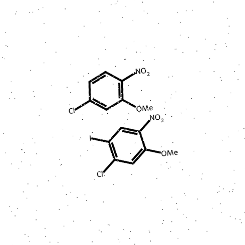 COc1cc(Cl)c(I)cc1[N+](=O)[O-].COc1cc(Cl)ccc1[N+](=O)[O-]